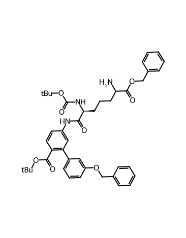 CC(C)(C)OC(=O)N[C@@H](CCCC(N)C(=O)OCc1ccccc1)C(=O)Nc1ccc(C(=O)OC(C)(C)C)c(-c2cccc(OCc3ccccc3)c2)c1